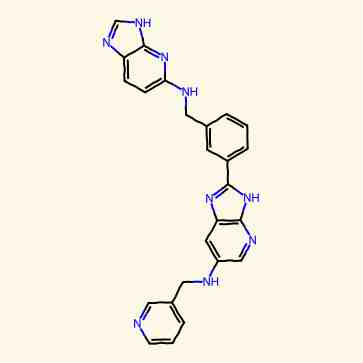 c1cncc(CNc2cnc3[nH]c(-c4cccc(CNc5ccc6nc[nH]c6n5)c4)nc3c2)c1